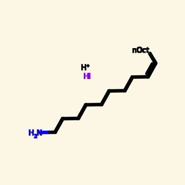 CCCCCCCC/C=C\CCCCCCCCN.I.[H+]